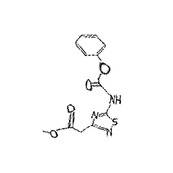 COC(=O)Cc1nsc(NC(=O)Oc2ccccc2)n1